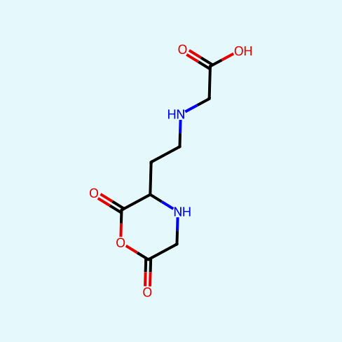 O=C(O)CNCCC1NCC(=O)OC1=O